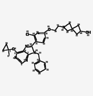 CC1(Oc2ncnc3c2nc(-c2ccc(OCCN4CC5(CC(O)C5)C4)cc2Cl)n3Cc2ccccc2)CC1